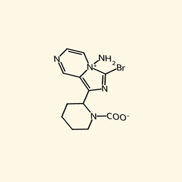 N[N+]12C=CN=CC1=C(C1CCCCN1C(=O)[O-])N=C2Br